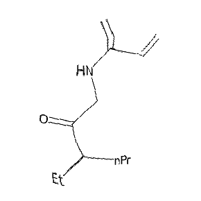 C=CC(=C)NCC(=O)C(CC)CCC